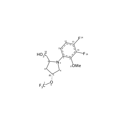 COc1c(N2C[C@H](OC(F)(F)F)CC2C(=O)O)ccc(F)c1F